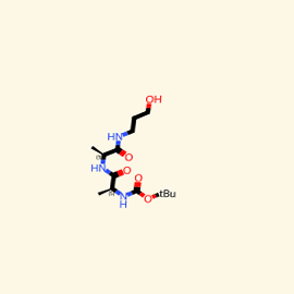 C[C@H](NC(=O)OC(C)(C)C)C(=O)N[C@@H](C)C(=O)NCCCO